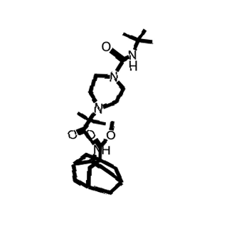 COC(=O)C12CC3CC(C1)C(NC(=O)C(C)(C)N1CCN(C(=O)NC(C)(C)C)CC1)C(C3)C2